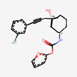 O=C(N[C@@H]1CCC[C@](O)(C#Cc2cccc(Cl)c2)C1)Oc1ccco1